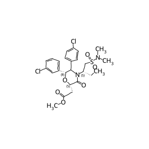 CC[C@@H](CS(=O)(=O)N(C)C)N1C(=O)[C@H](CC(=O)OC)O[C@H](c2cccc(Cl)c2)C1c1ccc(Cl)cc1